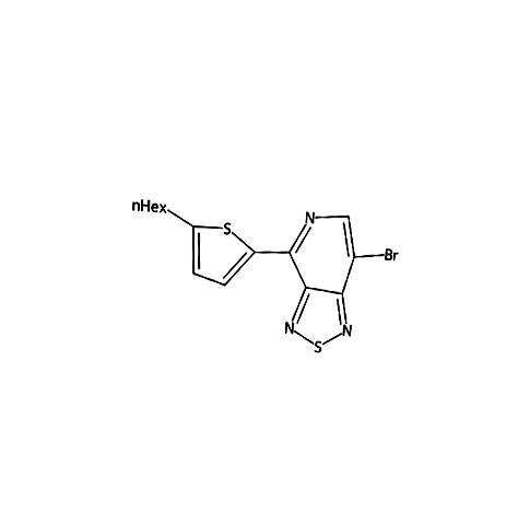 CCCCCCc1ccc(-c2ncc(Br)c3nsnc23)s1